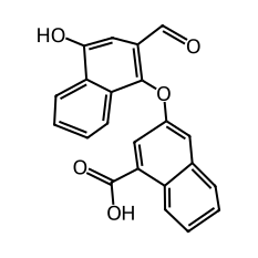 O=Cc1cc(O)c2ccccc2c1Oc1cc(C(=O)O)c2ccccc2c1